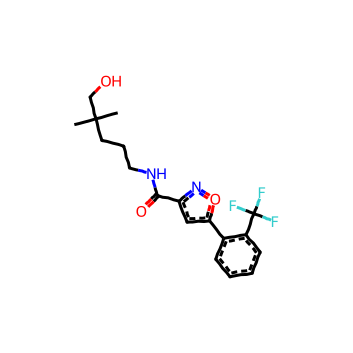 CC(C)(CO)CCCNC(=O)c1cc(-c2ccccc2C(F)(F)F)on1